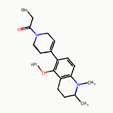 CCCOc1c(C2=CCN(C(=O)CC(C)(C)C)CC2)ccc2c1CCC(C)N2C